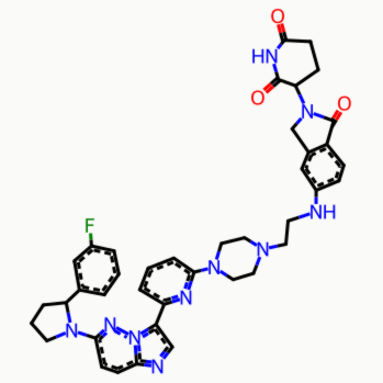 O=C1CCC(N2Cc3cc(NCCN4CCN(c5cccc(-c6cnc7ccc(N8CCCC8c8cccc(F)c8)nn67)n5)CC4)ccc3C2=O)C(=O)N1